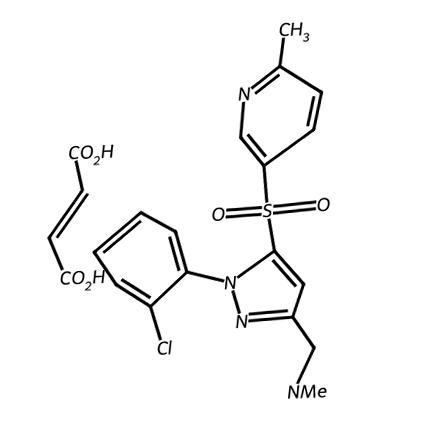 CNCc1cc(S(=O)(=O)c2ccc(C)nc2)n(-c2ccccc2Cl)n1.O=C(O)/C=C/C(=O)O